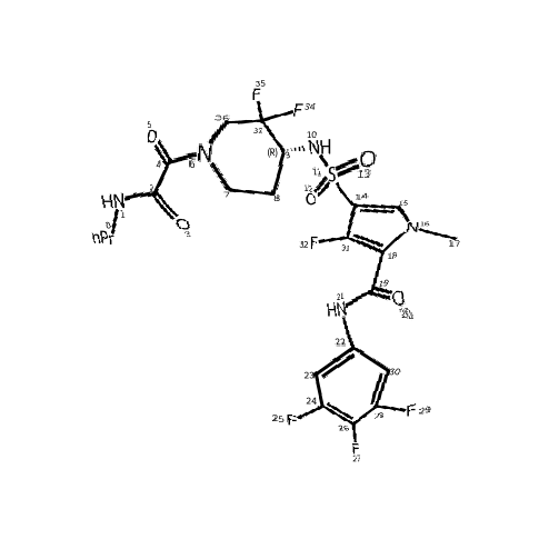 CCCNC(=O)C(=O)N1CC[C@@H](NS(=O)(=O)c2cn(C)c(C(=O)Nc3cc(F)c(F)c(F)c3)c2F)C(F)(F)C1